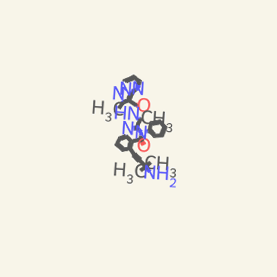 Cc1nn2cccnc2c1C(=O)N[C@@H](C)c1nc2cccc(C#CC(C)(C)N)c2c(=O)n1-c1ccccc1